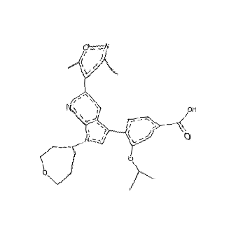 Cc1noc(C)c1-c1cnc2c(c1)c(-c1ccc(C(=O)O)cc1OC(C)C)cn2C1CCOCC1